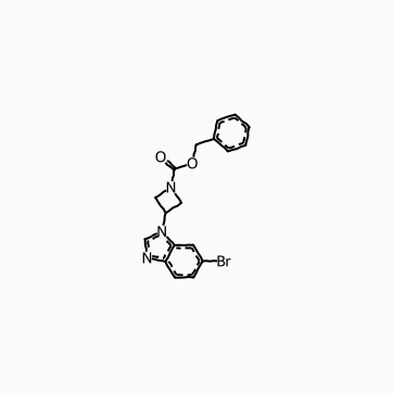 O=C(OCc1ccccc1)N1CC(n2cnc3ccc(Br)cc32)C1